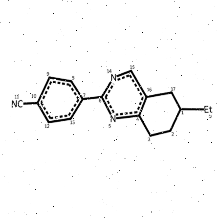 CCC1CCc2nc(-c3ccc(C#N)cc3)ncc2C1